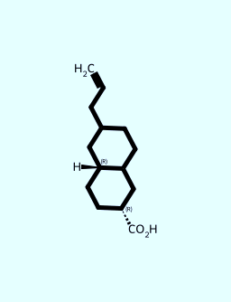 C=CCC1CCC2C[C@H](C(=O)O)CC[C@@H]2C1